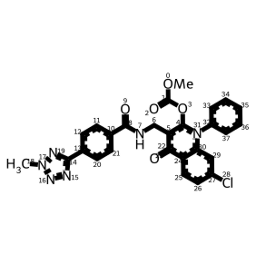 COC(=O)Oc1c(CNC(=O)c2ccc(-c3nnn(C)n3)cc2)c(=O)c2ccc(Cl)cc2n1-c1ccccc1